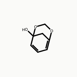 OC12C=CC=C(C1)OCO2